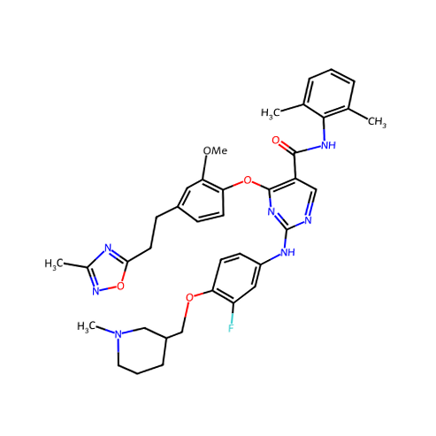 COc1cc(CCc2nc(C)no2)ccc1Oc1nc(Nc2ccc(OCC3CCCN(C)C3)c(F)c2)ncc1C(=O)Nc1c(C)cccc1C